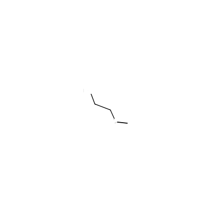 OCC[SiH2]F